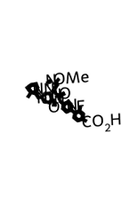 COc1cc(N2C(=O)N(c3ccc(-c4ccc(C(=O)O)cc4F)nc3)C(=O)C23CCN(Cc2ncccc2C)CC3)ncn1